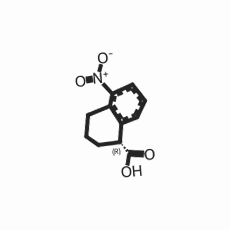 O=C(O)[C@@H]1CCCc2c1cccc2[N+](=O)[O-]